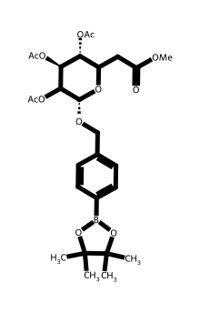 COC(=O)CC1O[C@H](OCc2ccc(B3OC(C)(C)C(C)(C)O3)cc2)C(OC(C)=O)[C@@H](OC(C)=O)[C@@H]1OC(C)=O